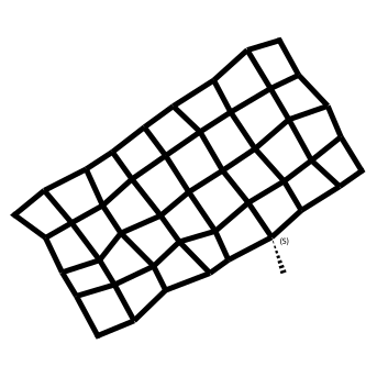 C[C@]12C3C4CC5C6C7CC8C9C%10C%11C%12C%13C%14CC%15C%16C%17CC%18C%19C%20C1C1%21C%20%22C%19%20C%17%18C%16%17C%15%14C%13%14C%12%13C%11%12C%10%11C9%10C78C67C54C34C7%10C%11(C%121C%13%22C%17%14%20)C4%212